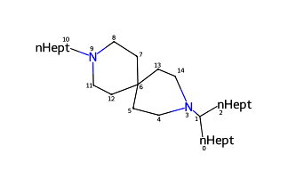 CCCCCCCC(CCCCCCC)N1CCC2(CCN(CCCCCCC)CC2)CC1